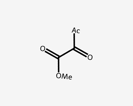 COC(=O)C(=O)C(C)=O